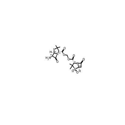 CC1(C)S[C@@H]2[C@H](N)C(=O)N2[C@H]1C(=O)OCOC(=O)[C@@H]1N2C(=O)C[C@H]2S(=O)(=O)C1(C)C